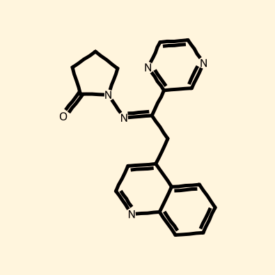 O=C1CCCN1N=C(Cc1ccnc2ccccc12)c1cnccn1